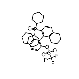 O=P(c1ccc2c(c1-c1c(OS(=O)(=O)C(F)(F)F)ccc3c1CCCC3)CCCC2)(C1CCCCC1)C1CCCCC1